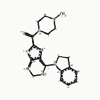 CN1CCN(C(=O)c2nc3c(s2)=NCNC=3N2CCc3ccccc32)CC1